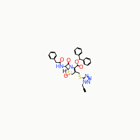 C#CCn1nnnc1SCC1=C(C(=O)OC(c2ccccc2)c2ccccc2)N2C(=O)C(NC(=O)Cc3ccccc3)[C@@H]2[S+]([O-])C1